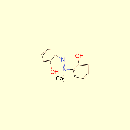 Oc1ccccc1N=Nc1ccccc1O.[Ga]